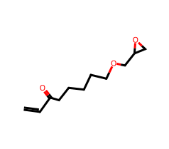 C=CC(=O)CCCCCOCC1CO1